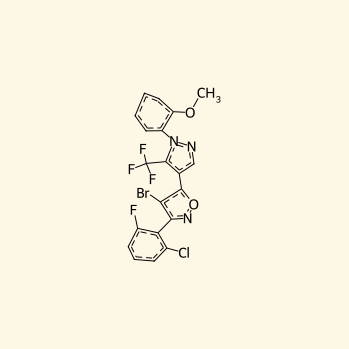 COc1ccccc1-n1ncc(-c2onc(-c3c(F)cccc3Cl)c2Br)c1C(F)(F)F